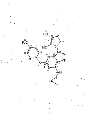 OC1C(n2nnc3c(NC4CC4)nc(Sc4ccc(C(F)(F)F)cc4)nc32)CC[C@H]1O